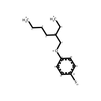 CCCCC(CC)COc1ccc([S])cc1